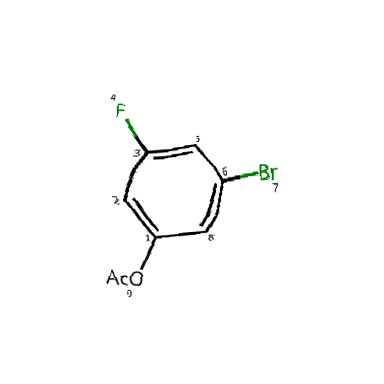 CC(=O)Oc1cc(F)cc(Br)c1